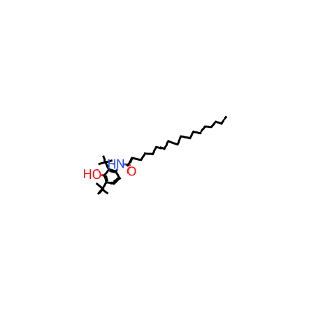 CCCCCCCCCCCCCCCCCC(=O)Nc1ccc(C(C)(C)C)c(O)c1C(C)(C)C